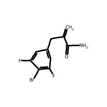 C=C(Cc1cc(F)c(Br)c(F)c1)C(N)=O